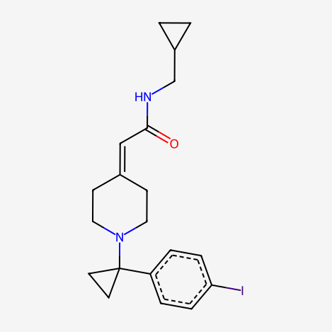 O=C(C=C1CCN(C2(c3ccc(I)cc3)CC2)CC1)NCC1CC1